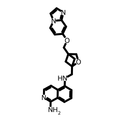 Nc1nccc2c(NCC34CC(COc5ccn6ccnc6c5)(CO3)C4)cccc12